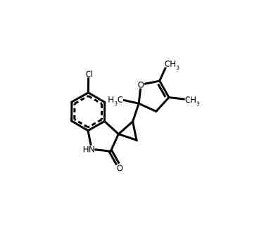 CC1=C(C)OC(C)(C2CC23C(=O)Nc2ccc(Cl)cc23)C1